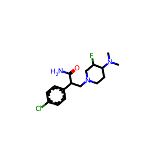 CN(C)C1CCN(CC(C(N)=O)c2ccc(Cl)cc2)CC1F